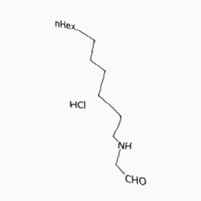 CCCCCCCCCCCCNCC=O.Cl